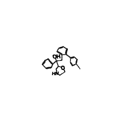 Cc1ccc(-c2ccccc2CC(O)(c2ccccc2)C2CNCCO2)cc1